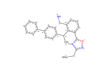 CCCCCCCCCCCc1noc(-c2cccc(C[NH])c2C(C)c2ccc(-c3ccccc3)cc2)n1